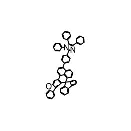 c1ccc(-c2nc(-c3ccc(-c4ccc5c6c(cccc46)C4(c6ccccc6-c6ccccc64)c4cc6c(cc4-5)oc4ccccc46)cc3)n(-c3ccccc3)c2-c2ccccc2)cc1